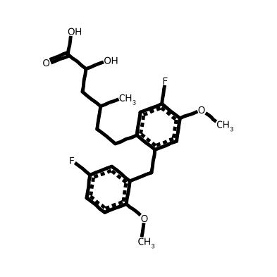 COc1cc(Cc2cc(F)ccc2OC)c(CCC(C)CC(O)C(=O)O)cc1F